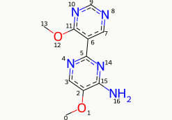 COc1cnc(-c2cncnc2OC)nc1N